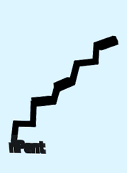 C=CCCC=CC=CCCCCCCC